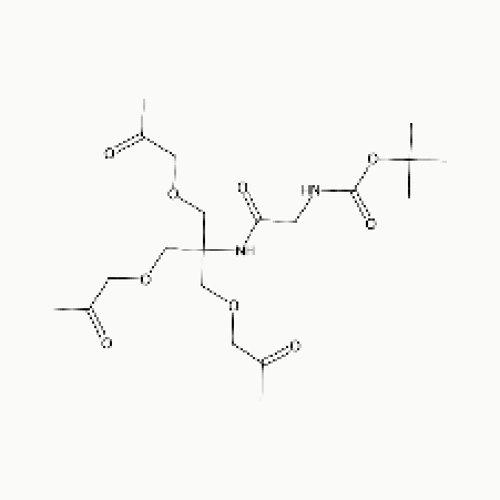 CC(=O)COCC(COCC(C)=O)(COCC(C)=O)NC(=O)CNC(=O)OC(C)(C)C